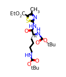 CCOC(=O)c1sc(NC(=O)[C@@H](CCCCNC(=O)OC(C)(C)C)NC(=O)OC(C)(C)C)nc1C